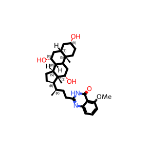 COc1cccc2nc(CC[C@@H](C)[C@H]3CC[C@H]4[C@H]5C(C[C@H](O)[C@]34C)[C@@]3(C)CC[C@@H](O)C[C@H]3C[C@H]5O)[nH]c(=O)c12